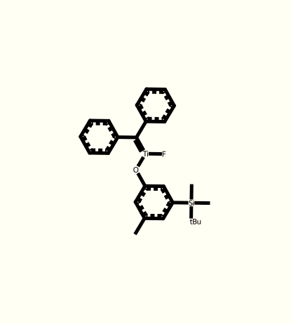 Cc1cc([O][Ti]([F])=[C](c2ccccc2)c2ccccc2)cc([Si](C)(C)C(C)(C)C)c1